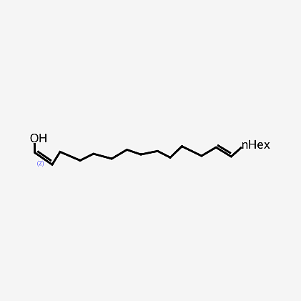 CCCCCCC=CCCCCCCCCCC/C=C\O